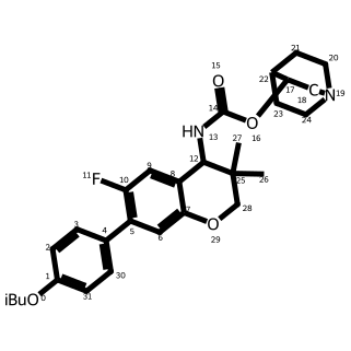 CC(C)COc1ccc(-c2cc3c(cc2F)C(NC(=O)OC2CN4CCC2CC4)C(C)(C)CO3)cc1